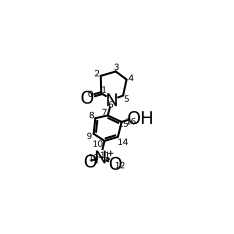 O=C1CCCCN1c1ccc([N+](=O)[O-])cc1O